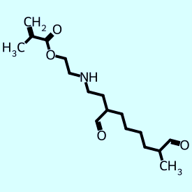 C=C(C)C(=O)OCCNCCC(C=O)CCCCC(C)C=O